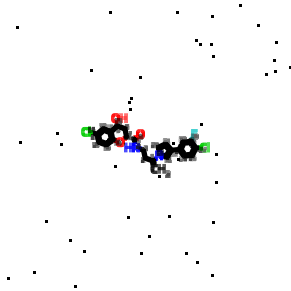 C=C(CCNC(=O)[C@H]1C[C@@H](O)c2cc(Cl)ccc2O1)n1ccc(-c2ccc(Cl)c(F)c2)c1